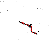 CCCCCCCC/C=C\CCCCCCCC(=O)[P]C(=O)CCCCCCCCCCCCCCCCC